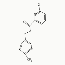 O=C(CCc1ccc(C(F)(F)F)nc1)c1cccc(Cl)n1